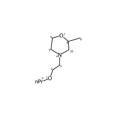 CCCOCCN1CCOC(C)C1